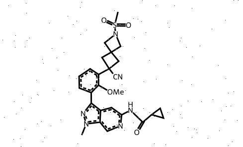 COc1c(-c2nn(C)c3cnc(NC(=O)C4CC4)cc23)cccc1C1(C#N)CC2(CN(S(C)(=O)=O)C2)C1